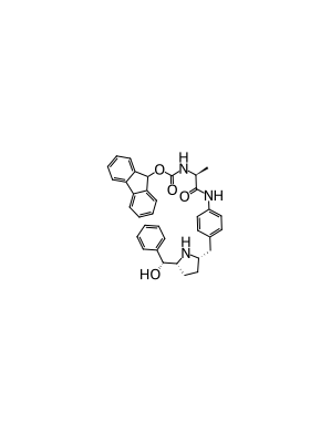 C[C@H](NC(=O)OC1c2ccccc2-c2ccccc21)C(=O)Nc1ccc(C[C@@H]2CC[C@H]([C@H](O)c3ccccc3)N2)cc1